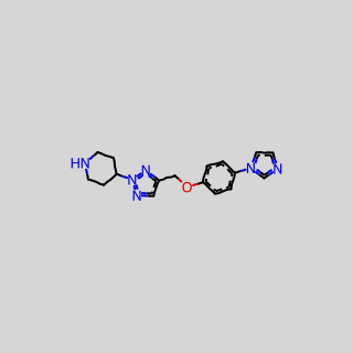 c1cn(-c2ccc(OCc3cnn(C4CCNCC4)n3)cc2)cn1